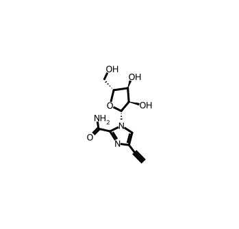 C#Cc1cn([C@@H]2O[C@H](CO)[C@@H](O)[C@H]2O)c(C(N)=O)n1